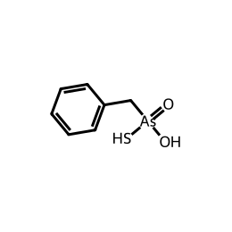 O=[As](O)(S)Cc1ccccc1